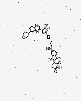 O=C1CCC(N2C(=O)c3ccc(NCCC[C@H]4C[C@@H](n5cc(-c6cnc7ccc(C8CCOCC8)cc7n6)c(C(F)(F)F)n5)C4)cc3C2=O)C(=O)N1